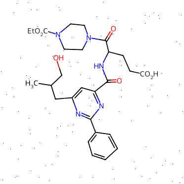 CCOC(=O)N1CCN(C(=O)C(CCC(=O)O)NC(=O)c2cc(CC(C)CO)nc(-c3ccccc3)n2)CC1